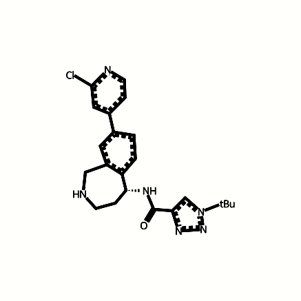 CC(C)(C)n1cc(C(=O)N[C@@H]2CCNCc3cc(-c4ccnc(Cl)c4)ccc32)nn1